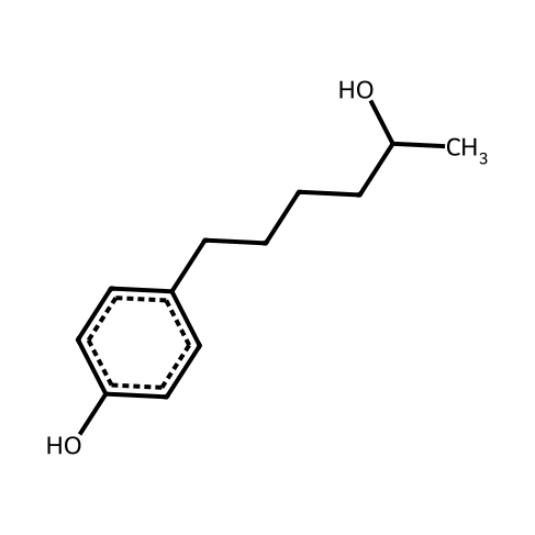 CC(O)CCCCc1ccc(O)cc1